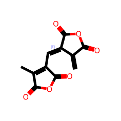 C=C1C(=O)OC(=O)/C1=C/C1=C(C)C(=O)OC1=O